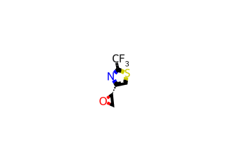 FC(F)(F)c1nc([C@@H]2CO2)cs1